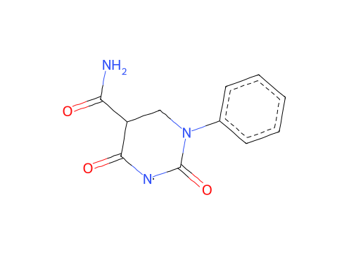 NC(=O)C1CN(c2ccccc2)C(=O)[N]C1=O